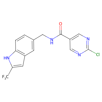 O=C(NCc1ccc2[nH]c(C(F)(F)F)cc2c1)c1cnc(Cl)nc1